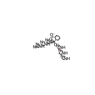 O=C([O-])c1ccccc1C(=O)[O-].[Ni+2].c1c[nH]cn1.c1c[nH]cn1.c1c[nH]cn1.c1c[nH]cn1.c1c[nH]cn1.c1c[nH]cn1